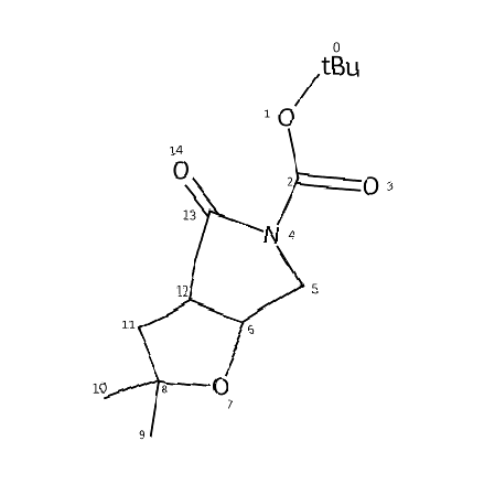 CC(C)(C)OC(=O)N1CC2OC(C)(C)CC2C1=O